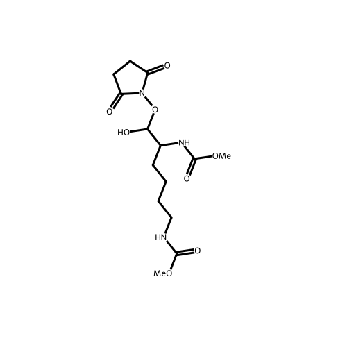 COC(=O)NCCCCC(NC(=O)OC)C(O)ON1C(=O)CCC1=O